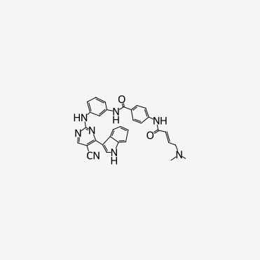 CN(C)CC=CC(=O)Nc1ccc(C(=O)Nc2cccc(Nc3ncc(C#N)c(-c4c[nH]c5ccccc45)n3)c2)cc1